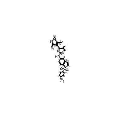 Cc1cnc(Nc2ccc3c(ccn3S(=O)(=O)c3ccc(C(F)(F)F)cc3)c2)nc1-c1c(C)nn(C)c1C